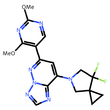 COc1ncc(-c2cc(N3CC(F)(F)C4(CC4)C3)c3ncnn3n2)c(OC)n1